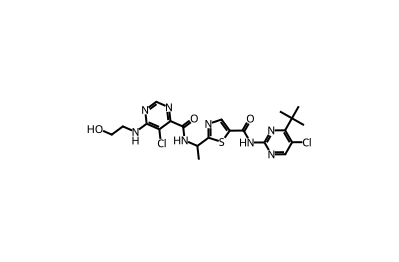 CC(NC(=O)c1ncnc(NCCO)c1Cl)c1ncc(C(=O)Nc2ncc(Cl)c(C(C)(C)C)n2)s1